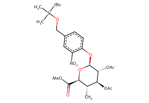 COC(=O)[C@H]1O[C@@H](Oc2ccc(CO[Si](C)(C)C(C)(C)C)cc2[N+](=O)[O-])[C@H](OC(C)=O)[C@@H](OC(C)=O)[C@@H]1C